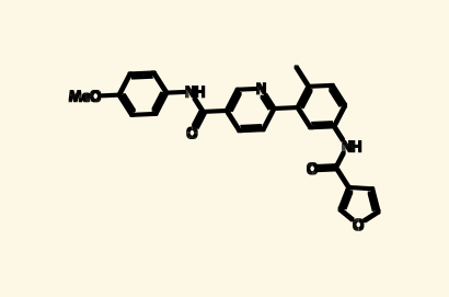 COc1ccc(NC(=O)c2ccc(-c3cc(NC(=O)c4ccoc4)ccc3C)nc2)cc1